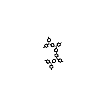 Cc1ccc(N(C2=CCC(C)C=C2)C2=CC=C(N(c3ccc(C)cc3)c3ccc(-c4ccc(N(c5ccc(C)cc5)c5ccc(N(c6ccc(C)cc6)c6ccc(C)cc6)cc5)cc4)cc3)CC2)cc1